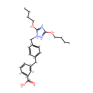 CCCCOc1nc(OCCCC)n(Cc2ccc(Cc3cccc(C(=O)O)c3)cc2)n1